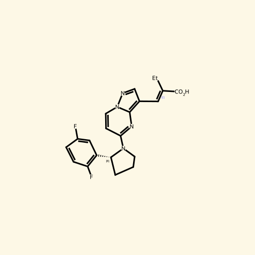 CC/C(=C\c1cnn2ccc(N3CCC[C@@H]3c3cc(F)ccc3F)nc12)C(=O)O